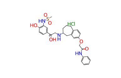 CS(=O)(=O)Nc1cc([C@@H](O)CNC2CCCc3ccc(OCC(=O)Nc4ccccc4)cc3C2)ccc1O.Cl